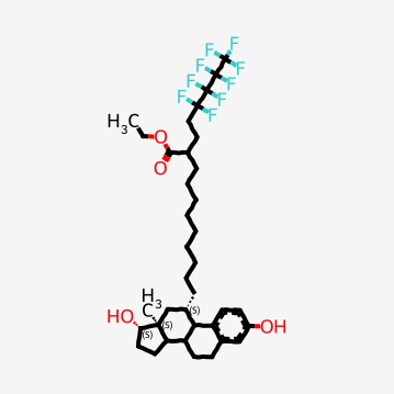 CCOC(=O)C(CCCCCCCCC[C@H]1C[C@@]2(C)C(CC[C@@H]2O)C2CCc3cc(O)ccc3C21)CCC(F)(F)C(F)(F)C(F)(F)C(F)(F)F